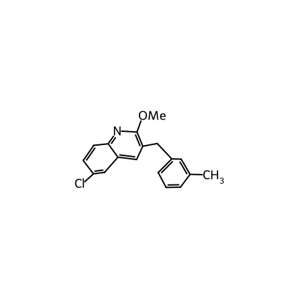 COc1nc2ccc(Cl)cc2cc1Cc1cccc(C)c1